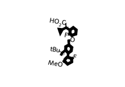 COc1ccc(F)c(-c2ccc(COc3cccc([C@H](CC(=O)O)C4CC4)c3F)cc2[C@H](C)C(C)(C)C)c1